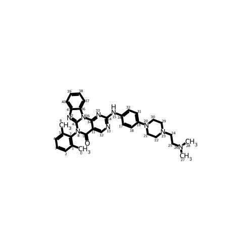 Cc1cccc(C)c1-n1c(=O)c2cnc(Nc3ccc(N4CCN(CCN(C)C)CC4)cc3)nc2n2c3ccccc3nc12